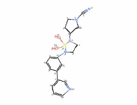 N#CN1CCC(N2CCN(c3cccc(-c4cccnc4)c3)S2(O)O)C1